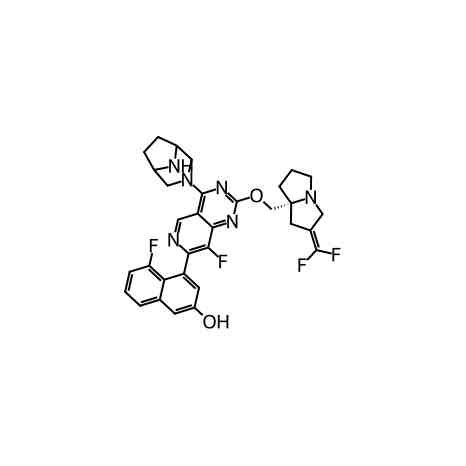 Oc1cc(-c2ncc3c(N4CC5CCC(C4)N5)nc(OC[C@]45CCCN4CC(=C(F)F)C5)nc3c2F)c2c(F)cccc2c1